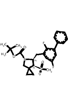 CC(C)(C)OC(=O)N1CC2(CC2)[C@H](S(C)(=O)=O)[C@@H]1Cc1cc(F)cc(-c2ccccc2)c1F